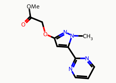 COC(=O)COc1cc(-c2ncccn2)n(C)n1